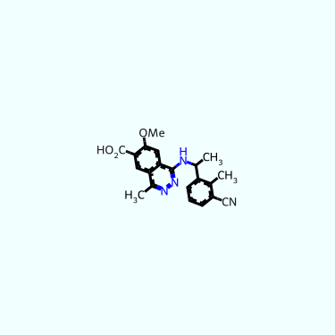 COc1cc2c(NC(C)c3cccc(C#N)c3C)nnc(C)c2cc1C(=O)O